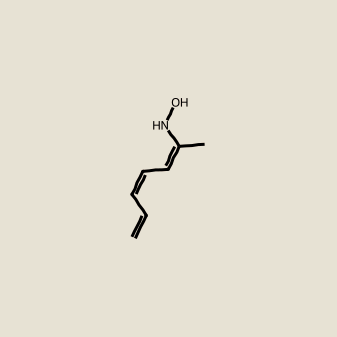 C=C/C=C\C=C(\C)NO